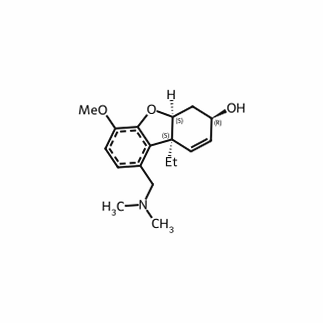 CC[C@@]12C=C[C@H](O)C[C@@H]1Oc1c(OC)ccc(CN(C)C)c12